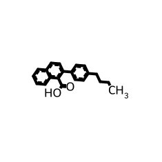 CCCCc1ccc(-c2ccc3ccccc3c2C(=O)O)cc1